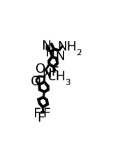 CN(C(=O)c1cc2c(cc1F)nc(N)c1cncn12)[C@@H]1COc2cc(-c3ccc(C(F)(F)F)cc3)ccc21